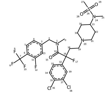 CN(Cc1ccc(C(F)(F)F)c(F)c1)C(=O)C(F)(CCN1CCC(N(C)S(C)(=O)=O)CC1)c1ccc(Cl)c(Cl)c1